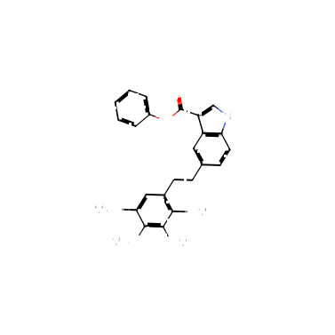 COc1cc(CCc2ccc3[nH]cc(C(=O)Oc4ccccc4)c3c2)c(OC)c(OC)c1OC